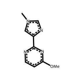 COc1ccnc(-c2cn(C)cn2)n1